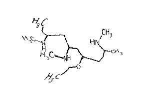 CCOC(CC(C)NC)CC(CC(C)NC)NC